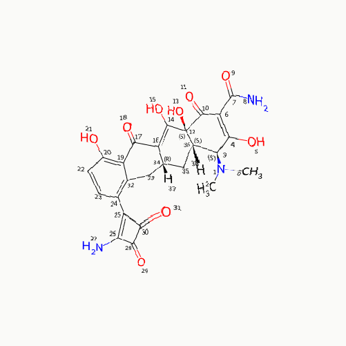 CN(C)[C@@H]1C(O)=C(C(N)=O)C(=O)[C@@]2(O)C(O)=C3C(=O)c4c(O)ccc(-c5c(N)c(=O)c5=O)c4C[C@H]3C[C@@H]12